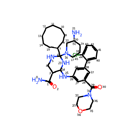 NC(=O)C1CNC(C2CCCCCCCC2)(N2CCC[C@H](N)C2)NC1Nc1cc(C(=O)N2CCOCC2)cc(-c2ccccc2Cl)c1